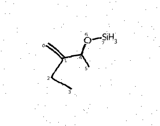 C=C(CC)C(C)O[SiH3]